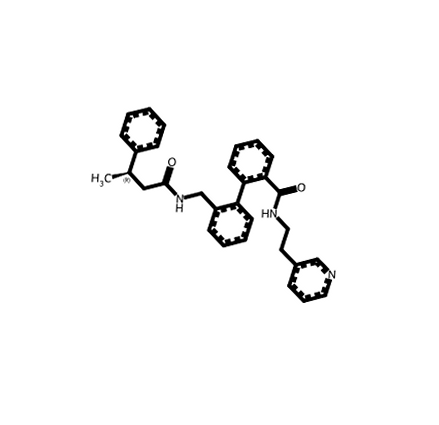 C[C@H](CC(=O)NCc1ccccc1-c1ccccc1C(=O)NCCc1cccnc1)c1ccccc1